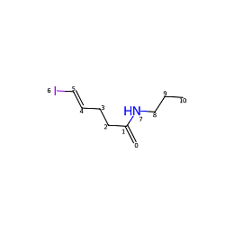 C=C(CC/C=C/I)NCCC